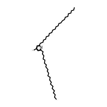 [CH2]c1cc(CCCCCCCCCCCCCCCCCCCCCCC)nc(CCCCCCCCCCCCCCCCCCCCCCC)c1